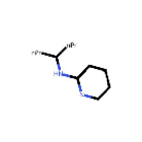 CCCC(CCC)NC1CCCC[N]1